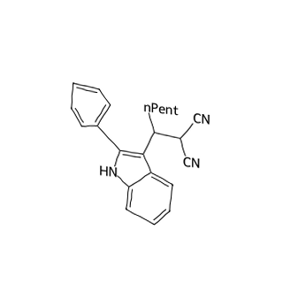 CCCCCC(c1c(-c2ccccc2)[nH]c2ccccc12)C(C#N)C#N